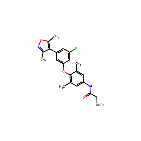 CC(=O)NCC(=O)Nc1cc(C)c(Oc2cc(F)cc(-c3c(C)noc3C)c2)c(C)c1